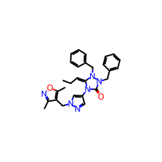 CCC=C1N(c2cnn(Cc3c(C)noc3C)c2)C(=O)N(Cc2ccccc2)N1Cc1ccccc1